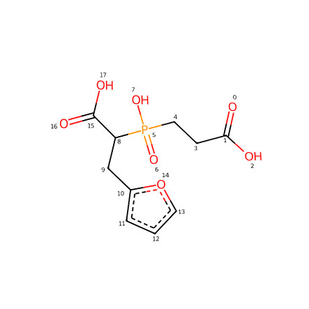 O=C(O)CCP(=O)(O)C(Cc1ccco1)C(=O)O